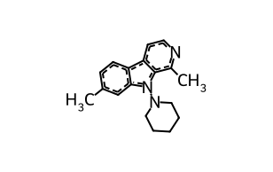 Cc1ccc2c3ccnc(C)c3n(N3CCCCC3)c2c1